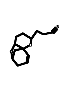 N#CCCC1CCC2OC3CC=CC2(C3)O1